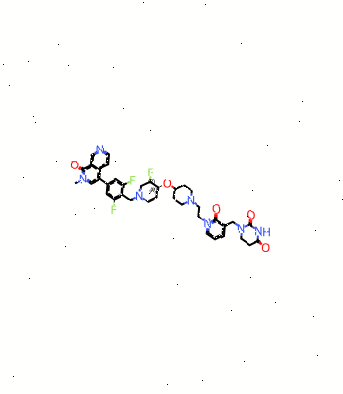 Cn1cc(-c2cc(F)c(CN3CC[C@@H](OC4CCN(CCn5cccc(CN6CCC(=O)NC6=O)c5=O)CC4)[C@H](F)C3)c(F)c2)c2ccncc2c1=O